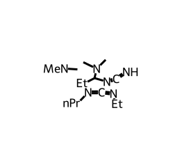 CCC(N=C=N)N(C)C.CCCN=C=NCC.CNC